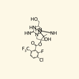 CC12C[C@]1(OC(=O)c1c(C(F)(F)F)ccc(Cl)c1F)CN1C(=N)NC(CO)C3NC(=N)N(O)C312